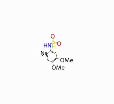 COc1ccc(N[SH](=O)=O)cc1OC.[Na]